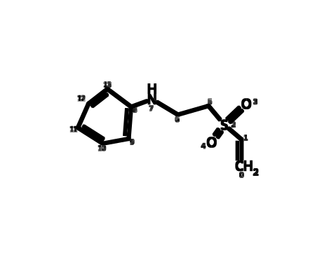 C=CS(=O)(=O)CCNc1ccccc1